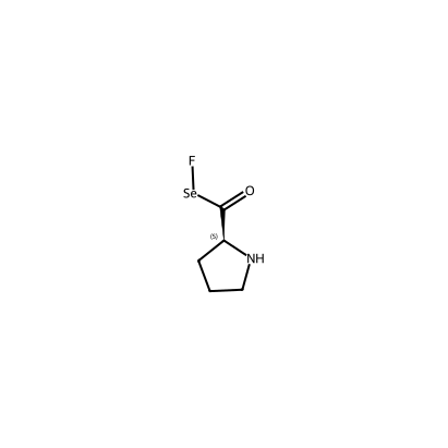 O=C([Se]F)[C@@H]1CCCN1